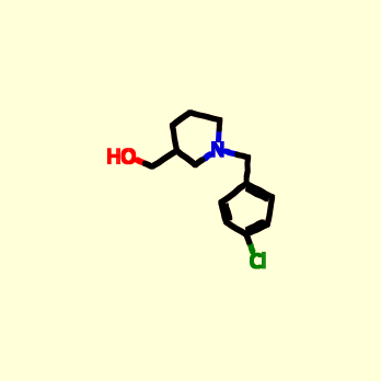 OCC1CCCN(Cc2ccc(Cl)cc2)C1